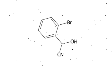 N#CC(O)c1ccccc1Br